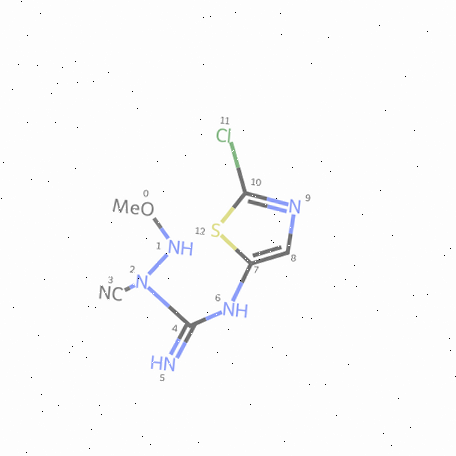 CONN(C#N)C(=N)Nc1cnc(Cl)s1